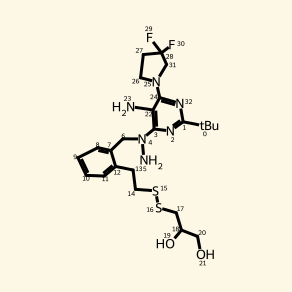 CC(C)(C)c1nc(N(N)Cc2ccccc2CCSSCC(O)CO)c(N)c(N2CCC(F)(F)C2)n1